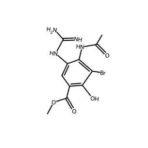 COC(=O)c1cc(NC(=N)N)c(NC(C)=O)c(Br)c1O